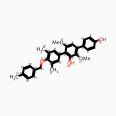 COc1cc(-c2ccc(O)cc2)c(OC)c(O)c1-c1cc(C)c(OCc2ccc(C)cc2)c(C)c1